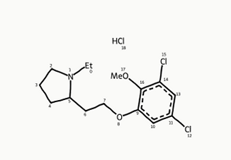 CCN1CCCC1CCOc1cc(Cl)cc(Cl)c1OC.Cl